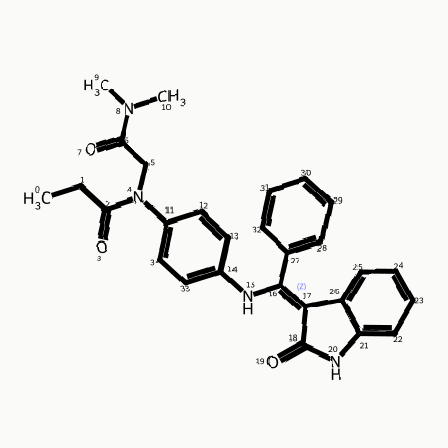 CCC(=O)N(CC(=O)N(C)C)c1ccc(N/C(=C2\C(=O)Nc3ccccc32)c2ccccc2)cc1